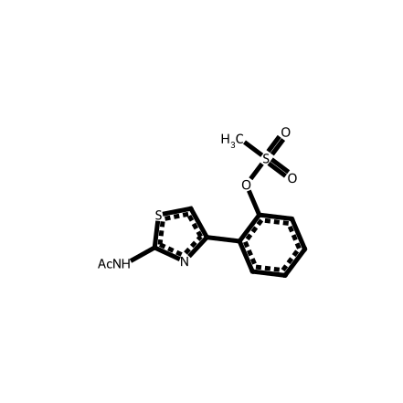 CC(=O)Nc1nc(-c2ccccc2OS(C)(=O)=O)cs1